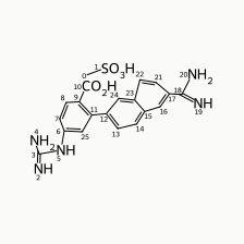 CS(=O)(=O)O.N=C(N)Nc1ccc(C(=O)O)c(-c2ccc3cc(C(=N)N)ccc3c2)c1